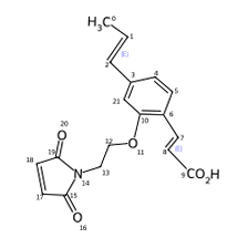 C/C=C/c1ccc(/C=C/C(=O)O)c(OCCN2C(=O)C=CC2=O)c1